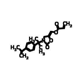 C=CC(=O)OC=C1CN(C(C)(C)c2ccc(C(=C)C)cc2)C(=O)O1